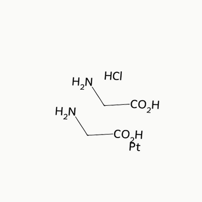 Cl.NCC(=O)O.NCC(=O)O.[Pt]